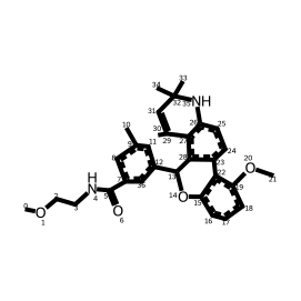 COCCNC(=O)c1cc(C)cc(C2Oc3cccc(OC)c3-c3ccc4c(c32)C(C)=CC(C)(C)N4)c1